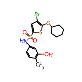 O=S(=O)(Nc1ccc(C(F)(F)F)c(O)c1)c1cc(Br)c(SC2CCCCC2)s1